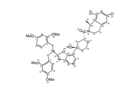 COc1ccc(CN(Cc2ccc(OC)cc2OC)c2nc3cncc([C@@]4(O)CCO[C@@H](C(=O)N5CCc6cc(Cl)cc(Cl)c6[C@@H]5C)C4)c3o2)c(OC)c1